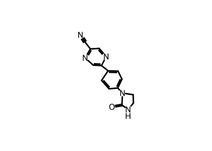 N#Cc1cnc(-c2ccc(N3CCNC3=O)cc2)cn1